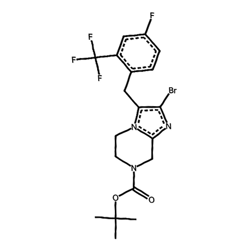 CC(C)(C)OC(=O)N1CCn2c(nc(Br)c2Cc2ccc(F)cc2C(F)(F)F)C1